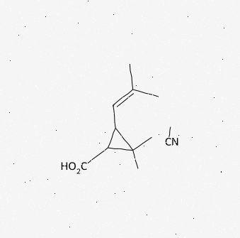 CC#N.CC(C)=CC1C(C(=O)O)C1(C)C